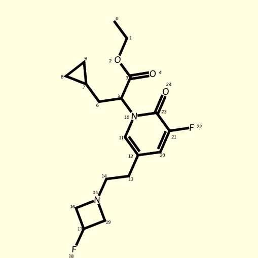 CCOC(=O)C(CC1CC1)n1cc(CCN2CC(F)C2)cc(F)c1=O